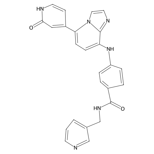 O=C(NCc1cccnc1)c1ccc(Nc2ccc(-c3cc[nH]c(=O)c3)n3ccnc23)cc1